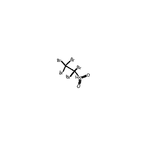 O=[SH](=O)C(Br)(Br)C(Br)(Br)Br